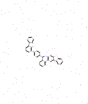 c1ccc2c(c1)oc1cc3nc(-c4ccc(-c5cccc6c5sc5ccccc56)cc4)c4ccccc4c3cc12